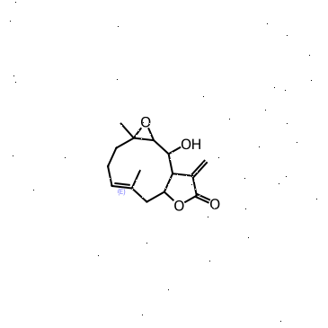 C=C1C(=O)OC2C/C(C)=C/CCC3(C)OC3C(O)C12